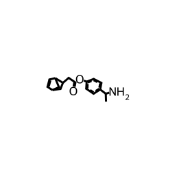 CC(N)c1ccc(OC(=O)CC2CC3C=CC2C3)cc1